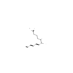 COC(=O)CCCC(C)C(C)/C=C/C=C/C=O